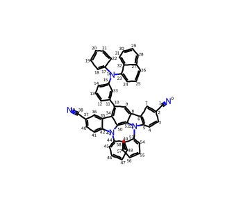 N#Cc1ccc2c(c1)c1cc(-c3cccc(N(c4ccccc4)c4cccc5ccccc45)c3)c3c4cc(C#N)ccc4n(-c4ccccc4)c3c1n2-c1ccccc1